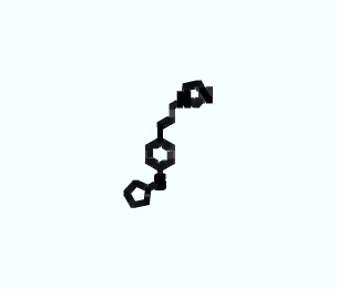 C(=Cc1ccc(SC2CCCC2)cc1)Cn1ccnc1